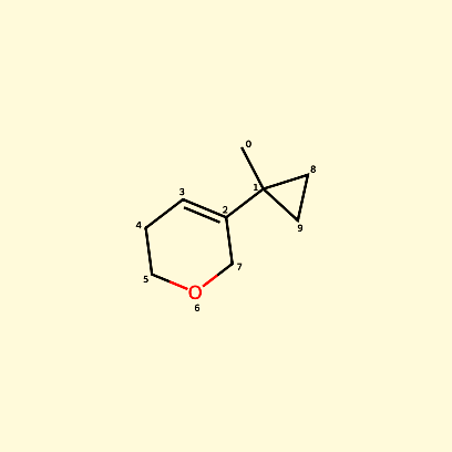 CC1(C2=CCCOC2)CC1